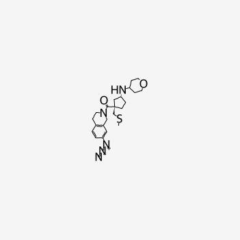 CSC[C@]1(C(=O)N2CCc3ccc(N=[N+]=[N-])cc3C2)CC[C@@H](NC2CCOCC2)C1